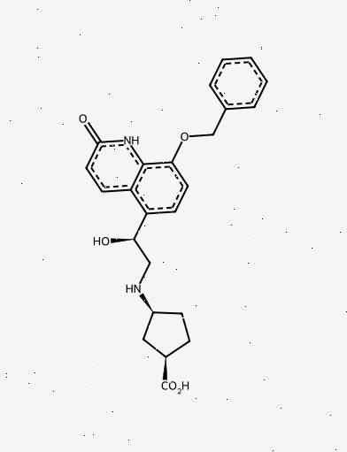 O=C(O)[C@@H]1CC[C@H](NC[C@@H](O)c2ccc(OCc3ccccc3)c3[nH]c(=O)ccc23)C1